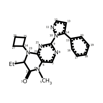 CCC1C(=O)N(C)c2cnc(-n3nccc3-c3ccccc3)nc2N1C1CCC1